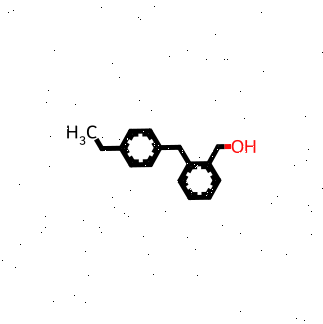 CCc1ccc(Cc2ccccc2CO)cc1